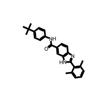 Cc1cccc(C)c1-c1nc2ccc(C(=O)Nc3ccc(C(C)(C)C)cc3)cc2[nH]1